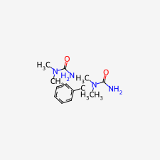 CN(C)C(N)=O.CN(C)C(N)=O.Cc1ccccc1